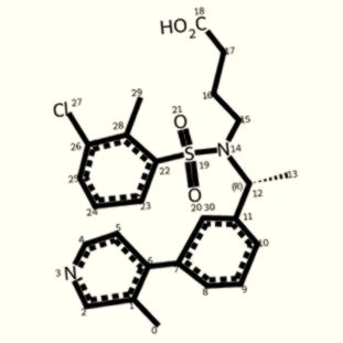 Cc1cnccc1-c1cccc([C@@H](C)N(CCCC(=O)O)S(=O)(=O)c2cccc(Cl)c2C)c1